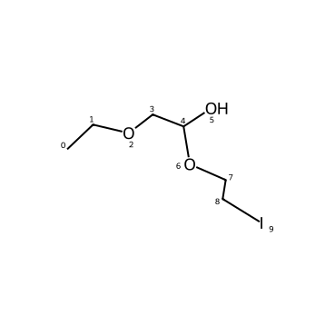 CCOCC(O)OCCI